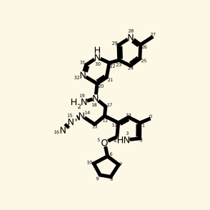 CC1=CNC(OC2CCCC2)C(C(CN=[N+]=[N-])CN(N)C2=CC(c3ccc(C)nc3)NC=N2)=C1